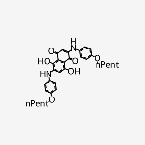 CCCCCOc1ccc(NC2=CC(=O)c3c(O)c(Nc4ccc(OCCCCC)cc4)cc(O)c3C2=O)cc1